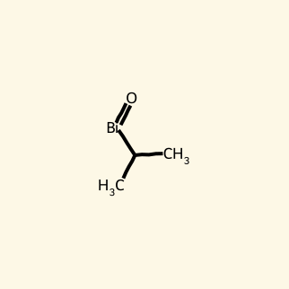 C[CH](C)[Bi]=[O]